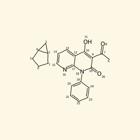 C1CC2CC2C1.CC(=O)c1c(O)c2cccnc2n(-c2ccccc2)c1=O